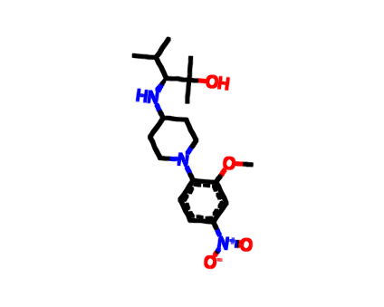 COc1cc([N+](=O)[O-])ccc1N1CCC(N[C@@H](C(C)C)C(C)(C)O)CC1